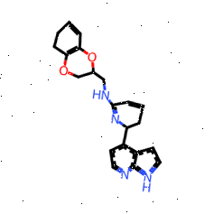 C1=CC2=C(CC1)OCC(CNC1=NC(c3ccnc4[nH]ccc34)CC=C1)O2